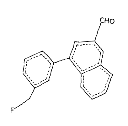 O=Cc1cc(-c2cccc(CF)c2)c2ccccc2c1